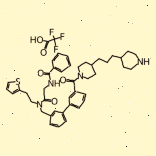 O=C(NCC(=O)N(CCc1cccs1)Cc1cccc(-c2cccc(C(=O)N3CCC(CCCC4CCNCC4)CC3)c2)c1)c1ccccc1.O=C(O)C(F)(F)F